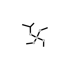 C[O][Ti]([O]C)([O]C)[O]C(C)C